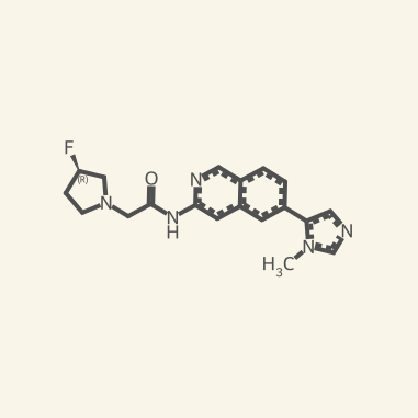 Cn1cncc1-c1ccc2cnc(NC(=O)CN3CC[C@@H](F)C3)cc2c1